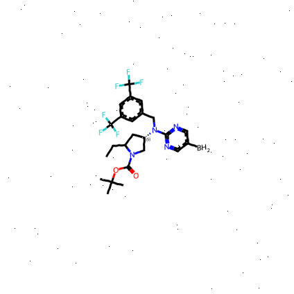 Bc1cnc(N(Cc2cc(C(F)(F)F)cc(C(F)(F)F)c2)[C@H]2CC(CC)N(C(=O)OC(C)(C)C)C2)nc1